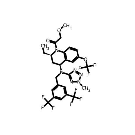 CC[C@@H]1C[C@H](N(Cc2cc(C(F)(F)F)cc(C(F)(F)F)c2)c2nnn(C)n2)c2cc(OC(F)(F)F)ccc2N1C(=O)COC